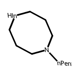 CCCCCN1CC[CH2][InH][CH2]CC1